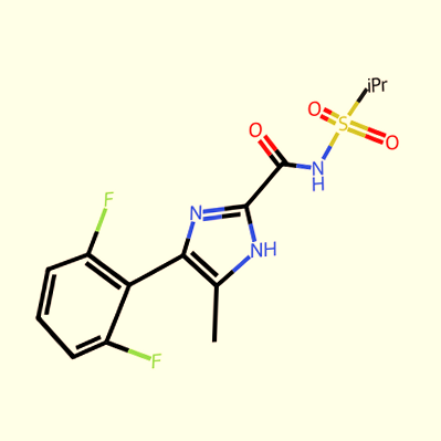 Cc1[nH]c(C(=O)NS(=O)(=O)C(C)C)nc1-c1c(F)cccc1F